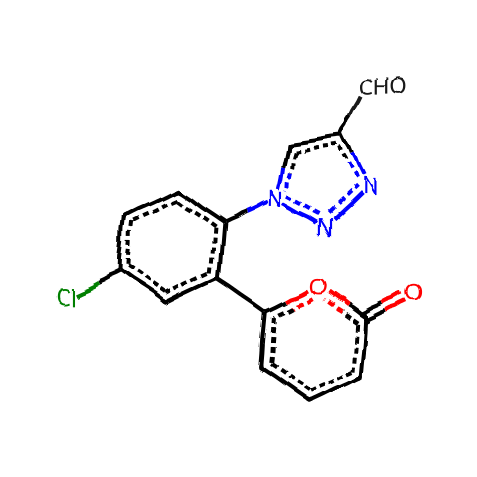 O=Cc1cn(-c2ccc(Cl)cc2-c2cccc(=O)o2)nn1